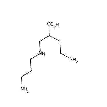 NCCCNCC(CCN)C(=O)O